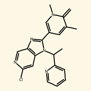 C=C1C(C)=CC(c2nc3cnc(Cl)cc3n2C(C)c2ccccn2)=CN1C